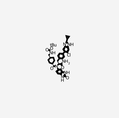 CC(C)(C)OC(=O)NC[C@H]1CC[C@H](C(=O)N(c2ccc3[nH]c(=O)[nH]c3c2)[C@@H](Cc2ccc(-c3cc4nc(C5CC5)[nH]c4cc3Cl)cc2)C(N)=O)CC1